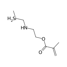 C=C(C)C(=O)OCCNC[SiH2]C